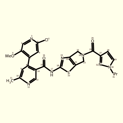 COc1cnc(Cl)cc1-c1cc(C)ncc1C(=O)Nc1nc2c(s1)CN(C(=O)c1ccn(C(C)C)n1)C2